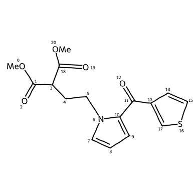 COC(=O)C(CCn1cccc1C(=O)c1ccsc1)C(=O)OC